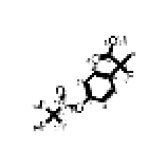 CC(F)(C(=O)O)c1ccc(OS(=O)C(F)(F)F)cc1